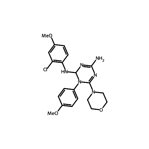 COc1ccc(N2C(N3CCOCC3)=NC(N)=NC2Nc2ccc(OC)cc2Cl)cc1